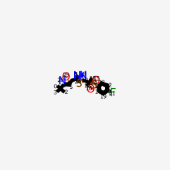 CC(C)(C)c1cc(-c2nnc(C(C)(C)S(=O)(=O)c3ccc(F)cc3)s2)on1